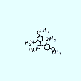 COc1ccc(C(=O)c2ccc(OC)cc2CN)c(CN)c1.Cl